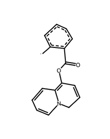 [CH2]c1ccccc1C(=O)OC1=C2C=CC=CN2CC=C1